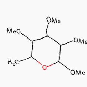 COC1OC(C)C(OC)C(OC)C1OC